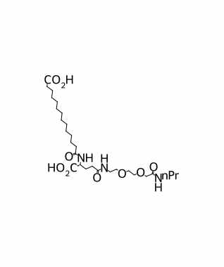 CCCNC(=O)COCCOCCNC(=O)CC[C@H](NC(=O)CCCCCCCCCCCCC(=O)O)C(=O)O